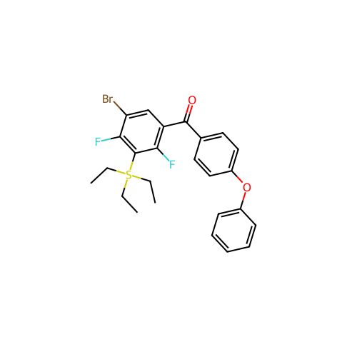 CCS(CC)(CC)c1c(F)c(Br)cc(C(=O)c2ccc(Oc3ccccc3)cc2)c1F